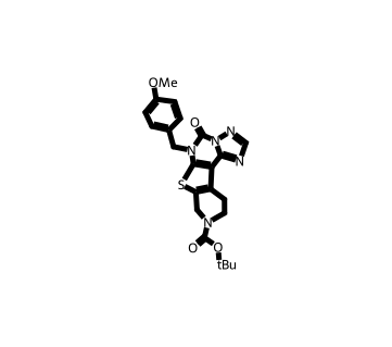 COc1ccc(Cn2c(=O)n3ncnc3c3c4c(sc32)CN(C(=O)OC(C)(C)C)CC4)cc1